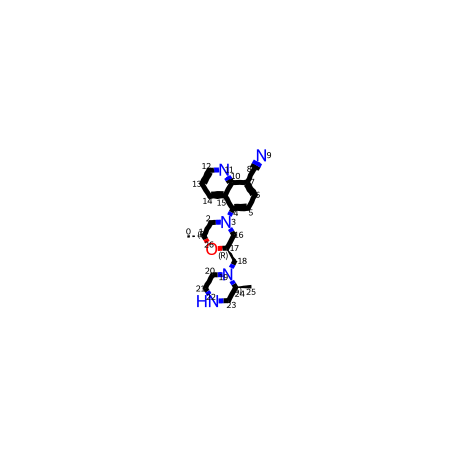 C[C@@H]1CN(c2ccc(C#N)c3ncccc23)C[C@@H](CN2CCNC[C@@H]2C)O1